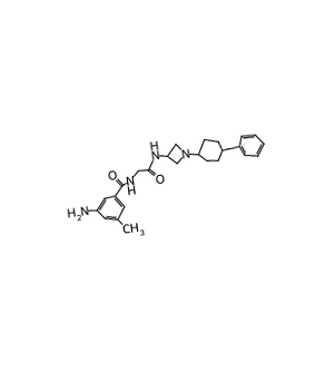 Cc1cc(N)cc(C(=O)NCC(=O)NC2CN(C3CCC(c4ccccc4)CC3)C2)c1